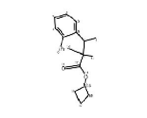 CC(C)c1ccccc1C(C)C(C)(C)C(=O)ON1CCC1